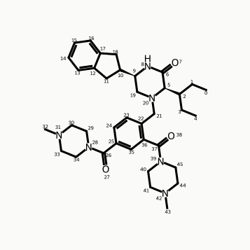 CCC(CC)[C@@H]1C(=O)N[C@H](C2Cc3ccccc3C2)CN1Cc1ccc(C(=O)N2CCN(C)CC2)cc1C(=O)N1CCN(C)CC1